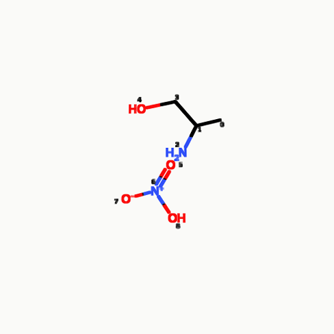 CC(N)CO.O=[N+]([O-])O